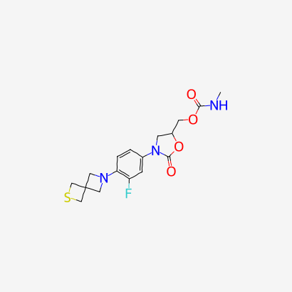 CNC(=O)OCC1CN(c2ccc(N3CC4(CSC4)C3)c(F)c2)C(=O)O1